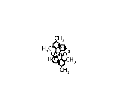 Cc1cc(C)c([C](=O)[Sn]([C](=O)c2c(C)cc(C)cc2C)([c]2ccccc2)[c]2ccccc2)c(C)c1